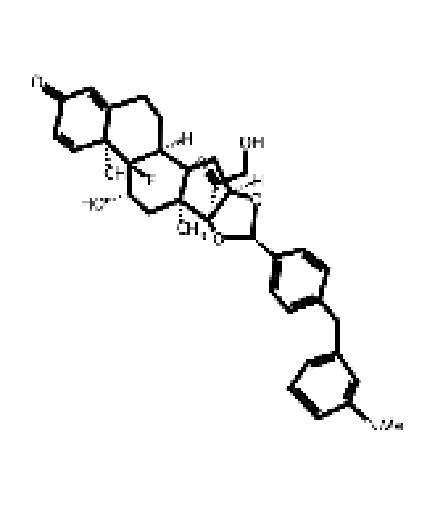 CNc1cccc(Cc2ccc([C@@H]3O[C@@H]4CC5[C@@H]6CCC7=CC(=O)C=C[C@]7(C)[C@@]6(F)[C@@H](O)C[C@]5(C)[C@]4(C(=O)CO)O3)cc2)c1